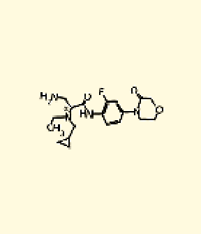 CCN(CC1CC1)[C@@H](CN)C(=O)Nc1ccc(N2CCOCC2=O)cc1F